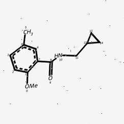 COc1ccc(C)cc1C(=O)NCC1CC1